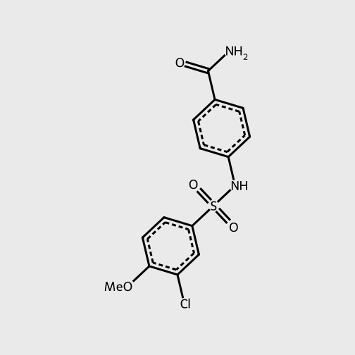 COc1ccc(S(=O)(=O)Nc2ccc(C(N)=O)cc2)cc1Cl